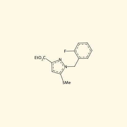 CCOC(=O)c1cc(SC)n(Cc2ccccc2F)n1